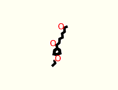 CCCOc1ccc(C(=O)CCCCCC(C)=O)cc1